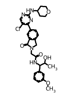 COc1cccc(C(NC(=O)CN2Cc3ccc(-c4nc(NC5CCOCC5)ncc4Cl)cc3C2=O)C(C)O)c1